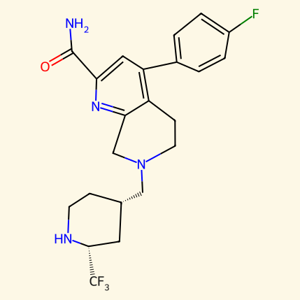 NC(=O)c1cc(-c2ccc(F)cc2)c2c(n1)CN(C[C@H]1CCN[C@@H](C(F)(F)F)C1)CC2